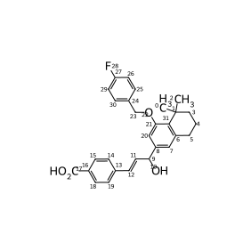 CC1(C)CCCc2cc(C(O)C=Cc3ccc(C(=O)O)cc3)cc(OCc3ccc(F)cc3)c21